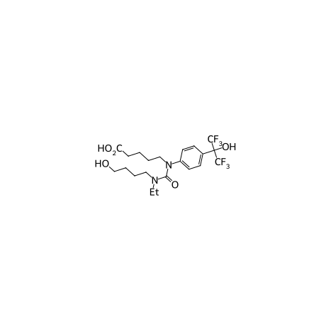 CCN(CCCCO)C(=O)N(CCCCC(=O)O)c1ccc(C(O)(C(F)(F)F)C(F)(F)F)cc1